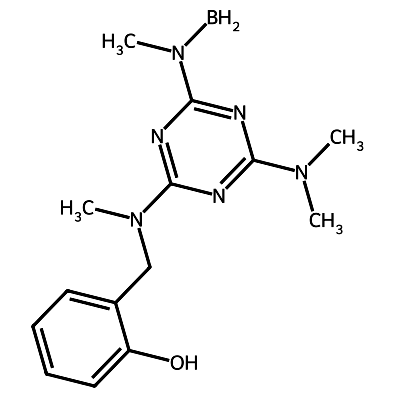 BN(C)c1nc(N(C)C)nc(N(C)Cc2ccccc2O)n1